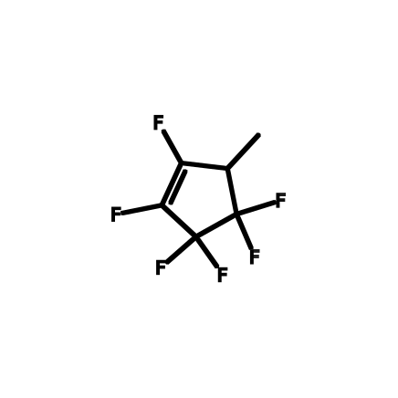 CC1C(F)=C(F)C(F)(F)C1(F)F